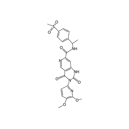 COc1ccc(-n2c(=O)[nH]c3cc(C(=O)NC(C)c4ccc(S(C)(=O)=O)cc4)ncc3c2=O)nc1OC